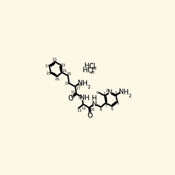 Cc1nc(N)ccc1CNC(=O)C(C)NC(=O)C(N)CCc1ccccc1.Cl.Cl